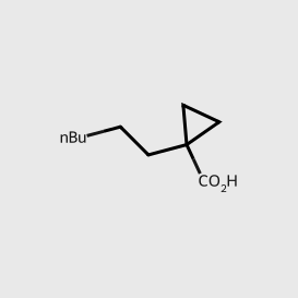 CCCCCCC1(C(=O)O)CC1